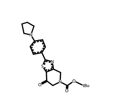 CC(C)(C)OC(=O)N1CC(=O)c2sc(-c3ccc(N4CCCC4)cc3)nc2C1